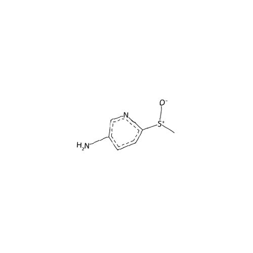 C[S+]([O-])c1ccc(N)cn1